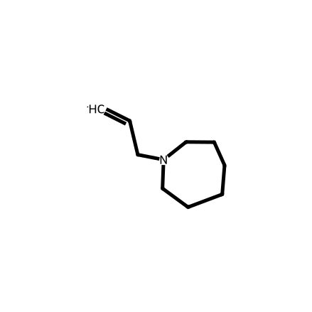 [CH]=CCN1CCCCCC1